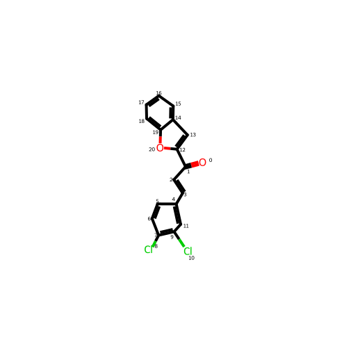 O=C(C=Cc1ccc(Cl)c(Cl)c1)c1cc2ccccc2o1